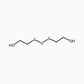 OCCSOSCCO